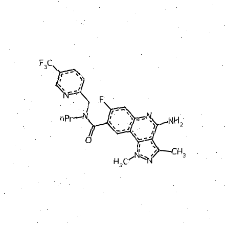 CCCN(Cc1ccc(C(F)(F)F)cn1)C(=O)c1cc2c(cc1F)nc(N)c1c(C)nn(C)c12